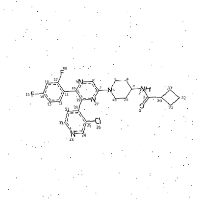 O=C(NC1CCN(c2cnc(-c3ccc(F)cc3F)c(-c3ccncc3Cl)n2)CC1)C1CCC1